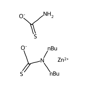 CCCCN(CCCC)C([O-])=S.NC([O-])=S.[Zn+2]